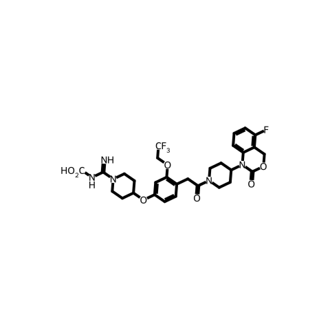 N=C(NC(=O)O)N1CCC(Oc2ccc(CC(=O)N3CCC(N4C(=O)OCc5c(F)cccc54)CC3)c(OCC(F)(F)F)c2)CC1